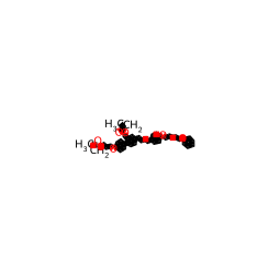 C=C(C)C(=O)OCCCOc1ccc(-c2ccc(CCCCc3ccc(OCCCCCOc4ccccc4)cc3)cc2COC(=O)C(=C)C)cc1